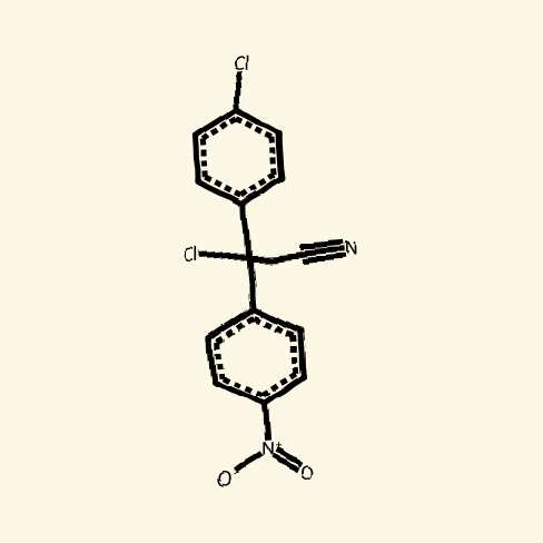 N#CC(Cl)(c1ccc(Cl)cc1)c1ccc([N+](=O)[O-])cc1